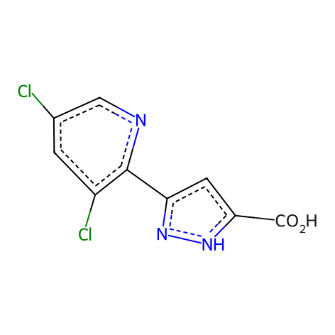 O=C(O)c1cc(-c2ncc(Cl)cc2Cl)n[nH]1